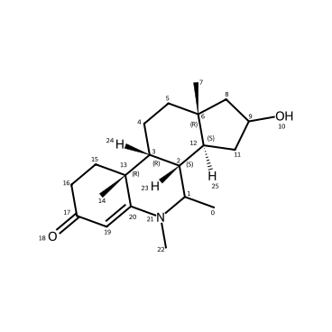 CC1[C@@H]2[C@@H](CC[C@]3(C)CC(O)C[C@@H]23)[C@@]2(C)CCC(=O)C=C2N1C